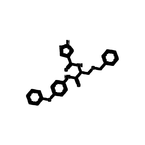 O=C(NC(COCc1ccccc1)C(=O)Nc1ccc(Oc2ccccc2)cc1)c1cn[nH]c1